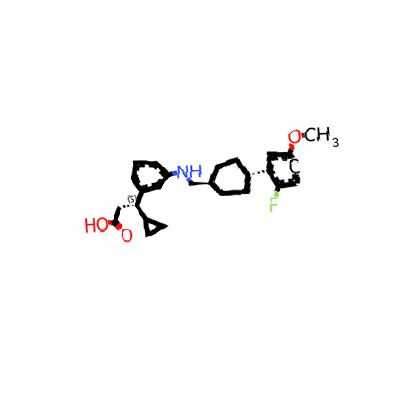 COc1ccc(F)c([C@H]2CC[C@H](CNc3cccc([C@@H](CC(=O)O)C4CC4)c3)CC2)c1